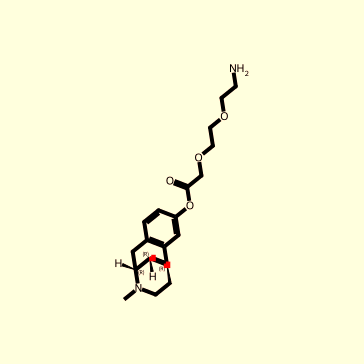 CN1CC[C@]23CCCC[C@H]2[C@H]1Cc1ccc(OC(=O)COCCOCCN)cc13